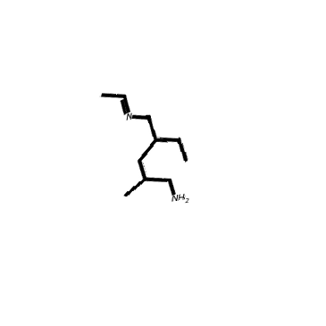 CC=NCC(CC)CC(C)CN